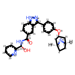 CN1[C@@H]2CC[C@H]1C[C@@H](Oc1ccc(-c3n[nH]c4ccc(C(=O)N[C@@H](O)c5ccccn5)cc34)cc1)C2